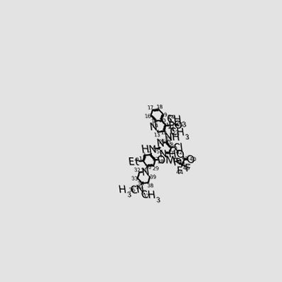 CCc1cc(Nc2ncc(Cl)c(Nc3cnc4ccccc4c3P(C)(C)=O)n2)c(OC)cc1N1CCC(N(C)C)CC1.O=C(O)C(F)(F)F